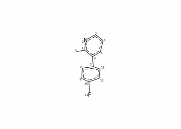 Cc1ncccc1-c1ccc(F)cc1